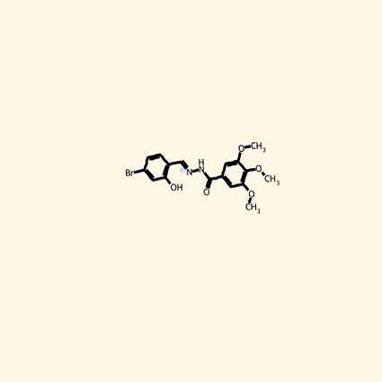 COc1cc(C(=O)N/N=C/c2ccc(Br)cc2O)cc(OC)c1OC